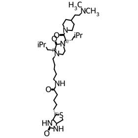 CC(C)C[C@H]1C(=O)N([C@@H](CC(C)C)C(=O)N2CCC(CCN(C)C)CC2)CCN1CCCCCNC(=O)CCCC[C@@H]1SCC2NC(=O)NC21